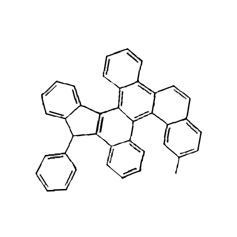 Fc1ccc2ccc3c4ccccc4c4c5c(c6ccccc6c4c3c2c1)C(c1ccccc1)c1ccccc1-5